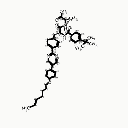 CCCCCCCOc1ccc(-c2cnc(-c3ccc(C[C@H](NC(=O)c4ccc(C(C)(C)C)cc4)C(=O)N[C@H](C)C(=O)O)cc3)nc2)cc1